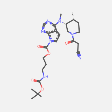 C[C@@H]1CCN(C(=O)CC#N)C[C@@H]1N(C)c1ncnc2c1ccn2C(=O)OCCCNC(=O)OC(C)(C)C